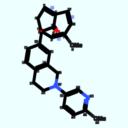 COC1=C/CC/C=C(C(=O)Cc2ccc3c(c2)CN(c2ccc(OC)nc2)CC3)/C=C\1